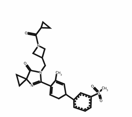 CC1=CC(c2cccc(S(C)(=O)=O)c2)CC=C1C1=NC2(CC2)C(=O)N1CC1CN(C(=O)C2CC2)C1